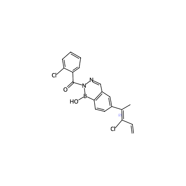 C=C/C(Cl)=C(\C)c1ccc2c(c1)C=NN(C(=O)c1ccccc1Cl)B2O